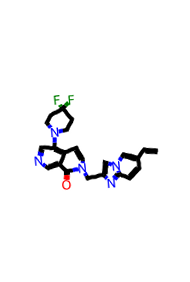 C=Cc1ccc2nc(Cn3ccc4c(N5CCC(F)(F)CC5)cncc4c3=O)cn2c1